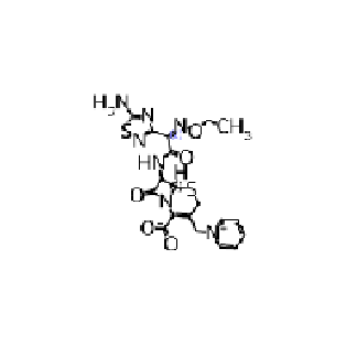 CCO/N=C(\C(=O)NC1C(=O)N2C(C(=O)[O-])=C(C[n+]3ccccc3)CS[C@H]12)c1nsc(N)n1